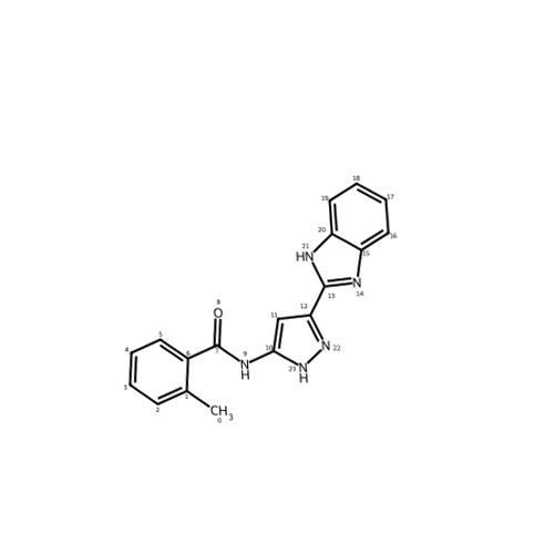 Cc1ccccc1C(=O)Nc1cc(-c2nc3ccccc3[nH]2)n[nH]1